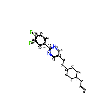 C=CCC1CCC(CCc2cnc(-c3ccc(F)c(F)c3)nc2)CC1